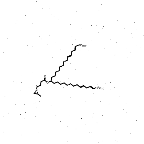 CCCCCC=CCC=CCCCCCCCCC(CCCCCCCCC=CCC=CCCCCC)OC(=O)CCCN1CC1C